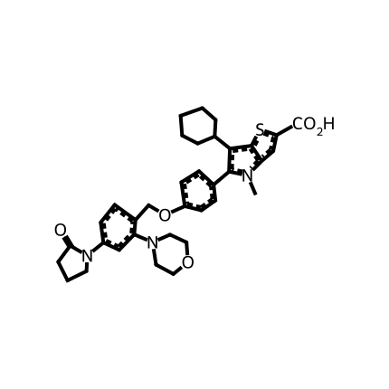 Cn1c(-c2ccc(OCc3ccc(N4CCCC4=O)cc3N3CCOCC3)cc2)c(C2CCCCC2)c2sc(C(=O)O)cc21